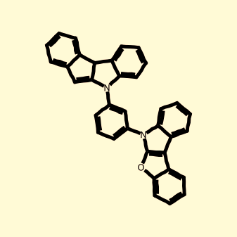 C1=C2C(c3ccccc31)c1ccccc1N2c1cccc(-n2c3ccccc3c3c4ccccc4oc32)c1